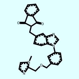 Cn1ccnc1COCc1cccc(-n2cnc3cc(CC4C(=O)c5ccccc5C4=O)ccc32)c1